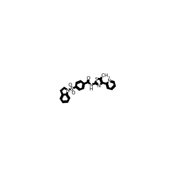 Cc1sc(NC(=O)c2ccc(S(=O)(=O)N3CCc4ccccc43)cc2)nc1-c1ccccn1